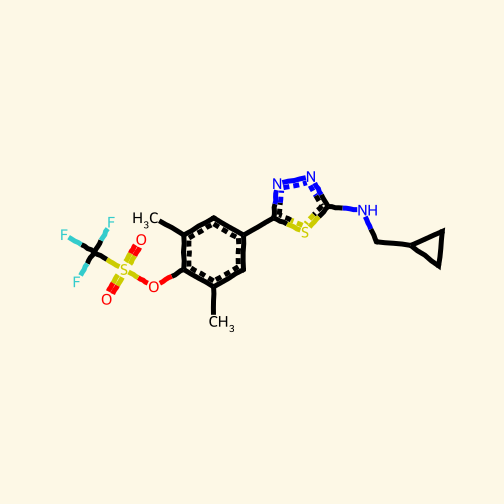 Cc1cc(-c2nnc(NCC3CC3)s2)cc(C)c1OS(=O)(=O)C(F)(F)F